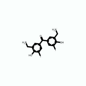 NCc1cc(C(=O)c2cc(I)c(O)c(CN)c2)cc(I)c1O